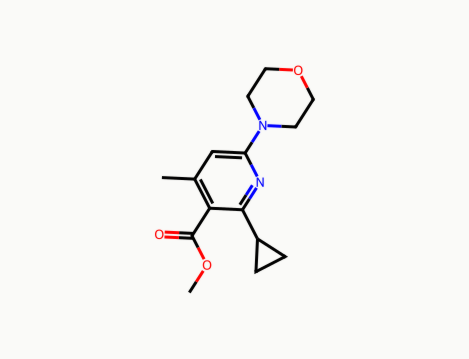 COC(=O)c1c(C)cc(N2CCOCC2)nc1C1CC1